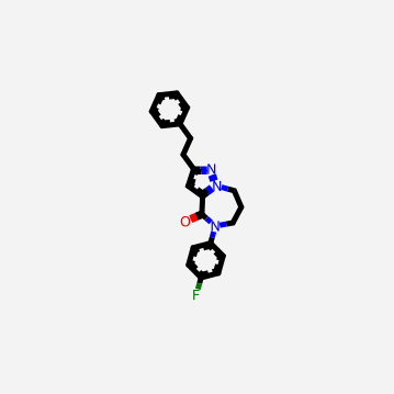 O=C1c2cc(CCc3ccccc3)nn2CCCN1c1ccc(F)cc1